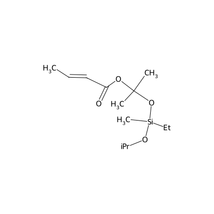 CC=CC(=O)OC(C)(C)O[Si](C)(CC)OC(C)C